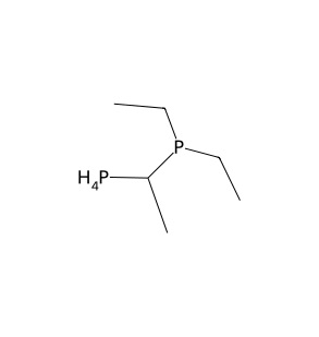 CCP(CC)C(C)[PH4]